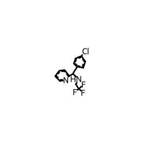 FC(F)(F)CNC(c1ccc(Cl)cc1)c1ccccn1